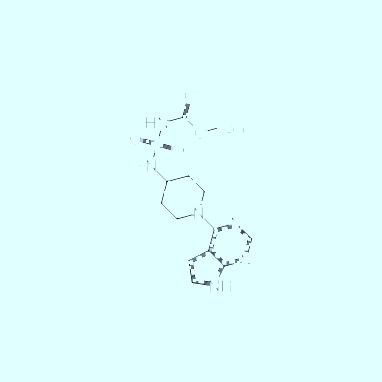 CC(C)(C)OC(=O)NS(=O)(=O)NC1CCN(c2ncnc3[nH]ccc23)CC1